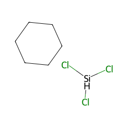 C1CCCCC1.Cl[SiH](Cl)Cl